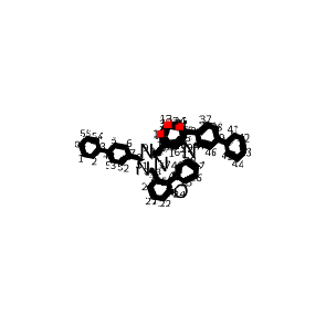 c1ccc(-c2ccc(-c3nc(-c4ccccc4)nc(-c4cccc5oc6ccc(-n7c8ccccc8c8ccc(-c9ccccc9)cc87)cc6c45)n3)cc2)cc1